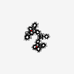 c1ccc(-c2nc(-c3ccc(-n4c5ccccc5c5ccccc54)c(-c4ccc5oc6ccccc6c5c4)c3)nc(-c3ccc(-c4ccccc4)c(-n4c5ccccc5c5ccccc54)c3)n2)cc1